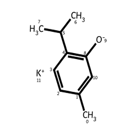 Cc1ccc(C(C)C)c([O-])c1.[K+]